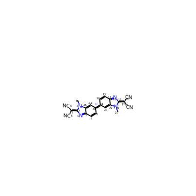 Cn1c(=C(C#N)C#N)nc2cc/c(=c3/ccc4nc(=C(C#N)C#N)n(C)c4c3)cc21